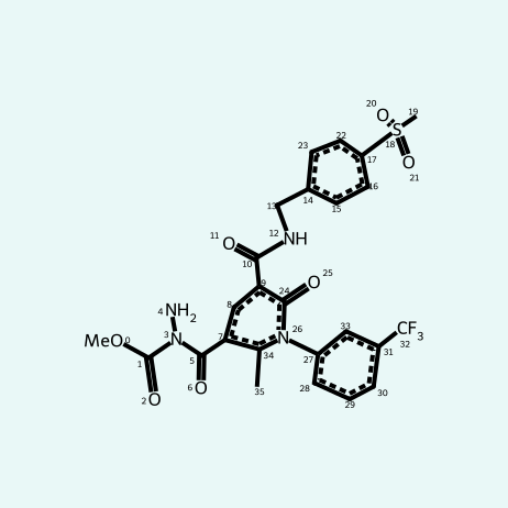 COC(=O)N(N)C(=O)c1cc(C(=O)NCc2ccc(S(C)(=O)=O)cc2)c(=O)n(-c2cccc(C(F)(F)F)c2)c1C